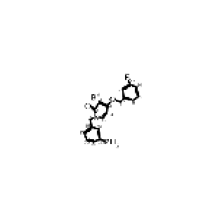 O=c1c(Br)c(OCc2cccc(F)c2)ccn1Cc1cccc(P)c1